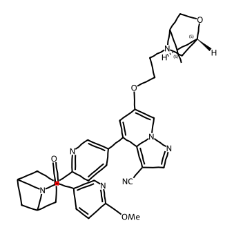 COc1ccc(C(=O)N2C3CC2CN(c2ccc(-c4cc(OCCN5C[C@H]6OCC5[C@@H]6C)cn5ncc(C#N)c45)cn2)C3)cn1